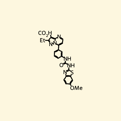 CCc1nn2c(-c3cccc(NC(=O)Nc4nc5ccc(OC)cc5s4)c3)ccnc2c1C(=O)O